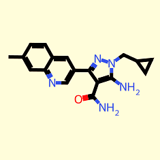 Cc1ccc2cc(-c3nn(CC4CC4)c(N)c3C(N)=O)cnc2c1